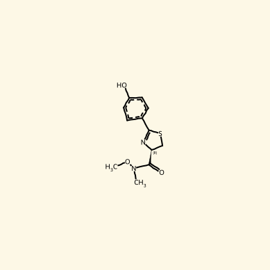 CON(C)C(=O)[C@@H]1CSC(c2ccc(O)cc2)=N1